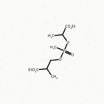 CCOC(=O)C(C)COP(C)(=O)OC(C)C(=O)OCC